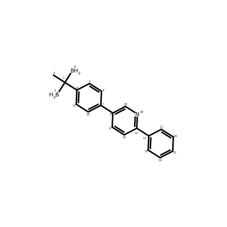 BC(B)(C)c1ccc(-c2ccc(-c3ccccc3)nc2)cc1